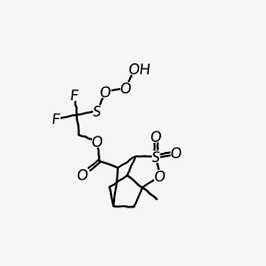 CC12CC3CC1C(C3C(=O)OCC(F)(F)SOOO)S(=O)(=O)O2